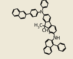 CC1(C)c2cc(Nc3ccc4ccccc4c3-c3ccccc3)ccc2-c2ccc(N(c3ccccc3)c3ccc(-c4ccc5ccccc5c4)cc3)cc21